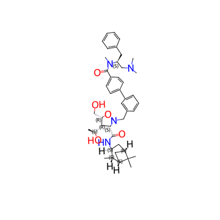 C[C@@H]1[C@@H](NC(=O)[C@@H]2[C@H]([C@H](C)O)[C@H](CO)ON2Cc2cccc(-c3ccc(C(=O)N(C)[C@@H](Cc4ccccc4)CN(C)C)cc3)c2)C[C@H]2C[C@@H]1C2(C)C